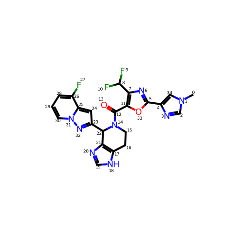 Cn1cnc(-c2nc(C(F)F)c(C(=O)N3CCc4[nH]cnc4C3c3cc4c(F)cccn4n3)o2)c1